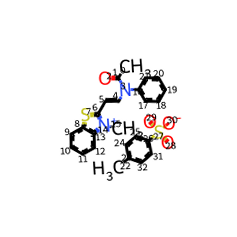 CC(=O)N(C=Cc1sc2ccccc2[n+]1C)c1ccccc1.Cc1ccc(S(=O)(=O)[O-])cc1